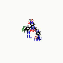 CS(=O)(=O)N1CCc2c(c(-c3ccc(C(F)(F)F)c(CN)c3)nn2CC(O)CN2CCC(n3cn[nH]c3=O)CC2)C1